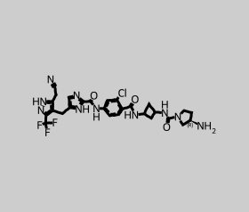 N#CCc1[nH]nc(C(F)(F)F)c1Cc1cnc(C(=O)Nc2ccc(C(=O)NC3CC(NC(=O)N4CC[C@@H](N)C4)C3)c(Cl)c2)[nH]1